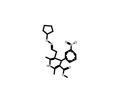 COC(=O)C1=C(C)NC(C)=C(CC=NOC2CCCC2)C1c1cccc([N+](=O)[O-])c1